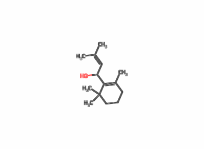 CC(C)=CC(O)C1=C(C)CCCC1(C)C